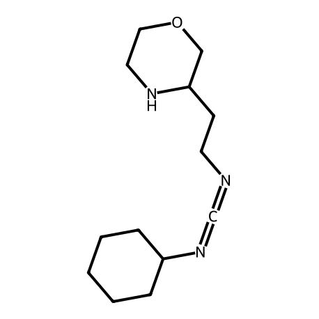 C(=NCCC1COCCN1)=NC1CCCCC1